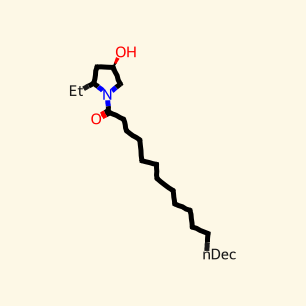 CCCCCCCCCCCCCCCCCCCCCC(=O)N1C[C@H](O)CC1CC